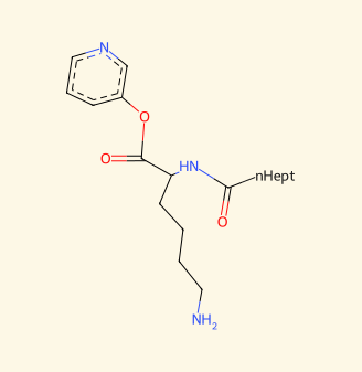 CCCCCCCC(=O)NC(CCCCN)C(=O)Oc1cccnc1